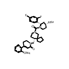 CN[C@@H]1CCN(C(=O)N2CC[C@@H](CN3CCC(c4ccccc4OC)=CC3=O)C3(CCCC3)C2)[C@H](c2ccc(F)cc2F)C1